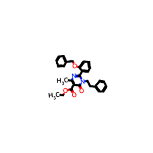 CCOC(=O)c1c(C)nc(-c2ccccc2OCc2ccccc2)n(CCc2ccccc2)c1=O